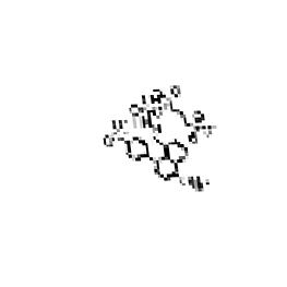 CS(=O)(=O)NN=Nc1cccc2c(O)ccc(-c3ccc([N+](=O)[O-])cc3)c12.O=S(=O)=CCCS(=O)(=O)[O-].[Na+]